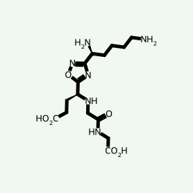 NCCCC[C@H](N)c1noc([C@H](CCC(=O)O)NCC(=O)NCC(=O)O)n1